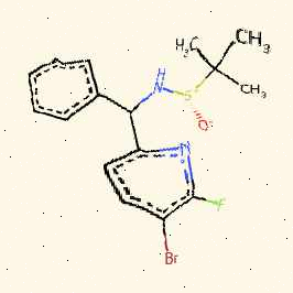 CC(C)(C)[S@+]([O-])NC(c1ccccc1)c1ccc(Br)c(F)n1